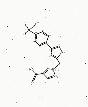 O=C(O)c1cnn(Cc2nc(-c3ccc(C(F)(F)F)cc3)cs2)c1